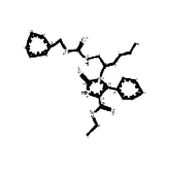 CCCCC(CNC(=O)OCc1ccccc1)n1c(-c2ccccc2)c(C(=O)OCC)[nH]c1=O